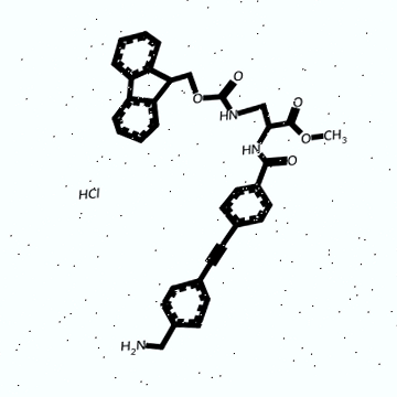 COC(=O)C(CNC(=O)OCC1c2ccccc2-c2ccccc21)NC(=O)c1ccc(C#Cc2ccc(CN)cc2)cc1.Cl